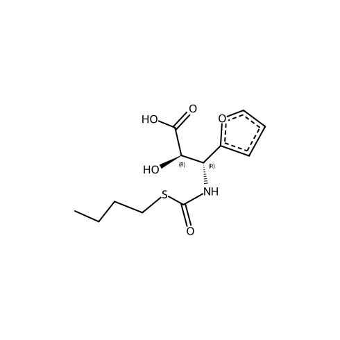 CCCCSC(=O)N[C@@H](c1ccco1)[C@@H](O)C(=O)O